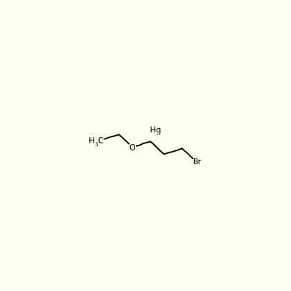 CCOCCCBr.[Hg]